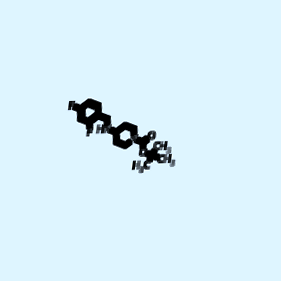 CC(C)(C)OC(=O)N1CCC(NCc2ccc(F)cc2F)CC1